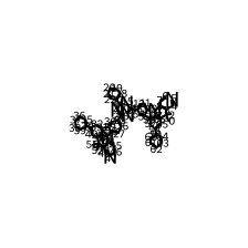 CC1(C)c2cnccc2-n2c3ccc(-c4nc(-c5ccccc5)nc(-c5ccc6c(c5)c5cc(-c7ccccc7)cc7c5n6-c5ccncc5C7(C)C)n4)cc3c3cc(-c4ccccc4)cc1c32